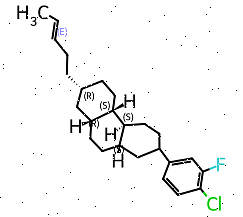 C/C=C/CC[C@@H]1CC[C@H]2[C@H](CC[C@H]3CC(c4ccc(Cl)c(F)c4)CC[C@@H]32)C1